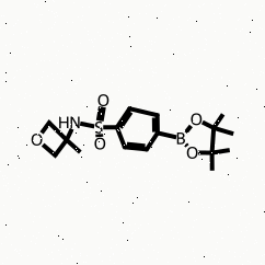 CC1(NS(=O)(=O)c2ccc(B3OC(C)(C)C(C)(C)O3)cc2)COC1